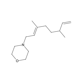 C=CC(C)CC/C(C)=C/CN1CCOCC1